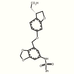 CC(C)S(=O)(=O)Nc1cc(COc2ccc3c(c2)OC[C@H]3CC(=O)O)c2c(c1)OCO2